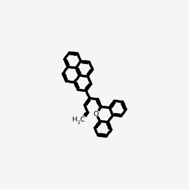 C=C/C=C(\C=C1/Oc2ccccc2-c2ccccc21)c1cc2ccc3cccc4ccc(c1)c2c34